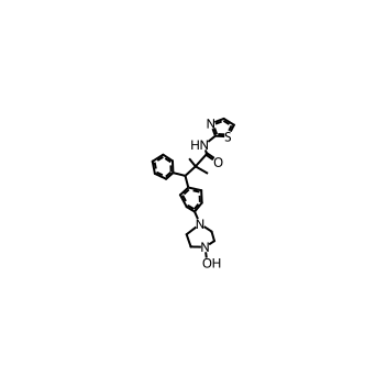 CC(C)(C(=O)Nc1nccs1)C(c1ccccc1)c1ccc(N2CCN(O)CC2)cc1